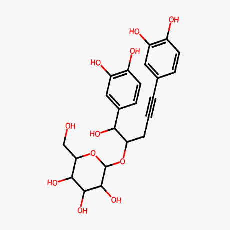 OCC1OC(OC(CC#Cc2ccc(O)c(O)c2)C(O)c2ccc(O)c(O)c2)C(O)C(O)C1O